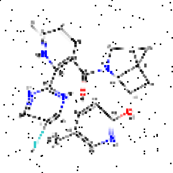 Cc1ccc(C(=O)N2CC3CC34CC(Oc3ccc(C(F)(F)F)cn3)C24)c(-c2ncc(F)cn2)n1